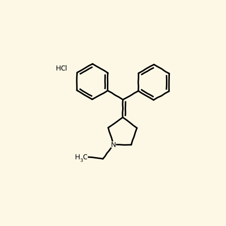 CCN1CCC(=C(c2ccccc2)c2ccccc2)C1.Cl